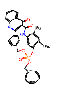 CC(C)(C)c1cc(C(C)(C)C)c(OP(=O)(OCc2ccccc2)OCc2ccccc2)cc1NC(=O)c1c[nH]c2ccccc2c1=O